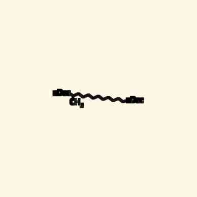 CCCCCCCCCCCCCCCCCCCCC(C)CCCCCCCCCC